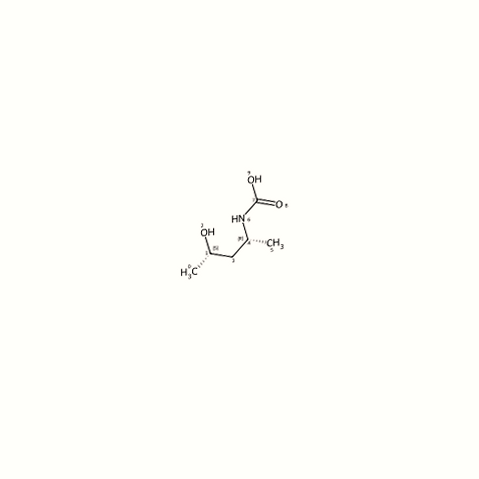 C[C@H](O)C[C@@H](C)NC(=O)O